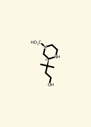 CC(C)(CCO)[C@H]1CN(C(=O)O)CCN1